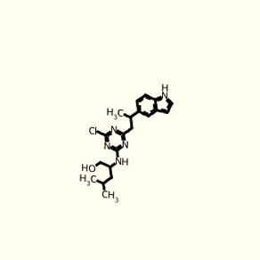 CC(C)CC(CO)Nc1nc(Cl)nc(CC(C)c2ccc3[nH]ccc3c2)n1